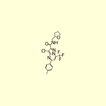 Cc1ccc(-c2cc(C(F)(F)F)n3nc(C(=O)NCC4CCCO4)c(Cl)c3n2)cc1